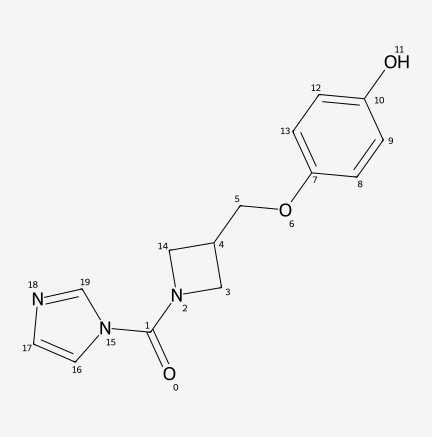 O=C(N1CC(COc2ccc(O)cc2)C1)n1ccnc1